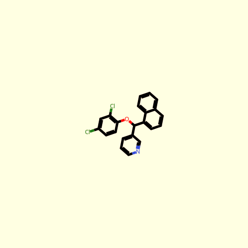 Clc1ccc(OC(c2cccnc2)c2cccc3ccccc23)c(Cl)c1